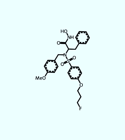 COc1ccc(CN(C(Cc2ccccc2)C(=O)NO)S(=O)(=O)c2ccc(OCCCF)cc2)cc1